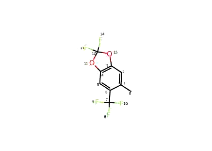 Cc1cc2c(cc1C(F)(F)F)OC(F)(F)O2